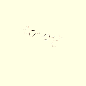 CC(C)CN(CC(C)C)C(=O)c1ccc(OC(=O)c2ccc(NC(=N)N)cc2)cc1